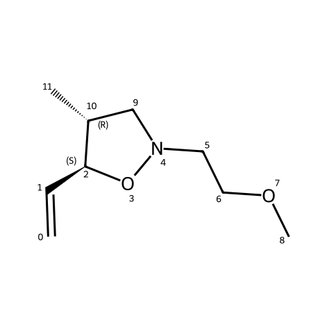 C=C[C@@H]1ON(CCOC)C[C@H]1C